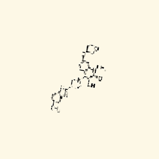 Cc1ccc2oc(C3CCN(c4c(C#N)c(=O)n(C)c5cc(OC6CCOC6)ccc45)CC3)nc2c1